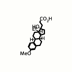 CC[C@]12CC[C@@H]3c4ccc(OC)cc4CC[C@H]3[C@@H]1CC[C@]2(O)CCC(=O)O